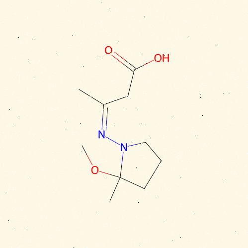 COC1(C)CCCN1N=C(C)CC(=O)O